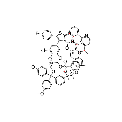 CCOC(=O)[C@@H](Cc1cc(O[Si](C)(C)C(C)(C)C)ccc1OCc1ccnc(-c2ccccc2OC)n1)Oc1ncnc2sc(-c3ccc(F)cc3)c(-c3cc(Cl)c(O[C@H](COC(c4ccccc4)(c4ccc(OC)cc4)c4ccc(OC)cc4)COS(=O)(=O)c4ccc(C)cc4)c(Cl)c3)c12